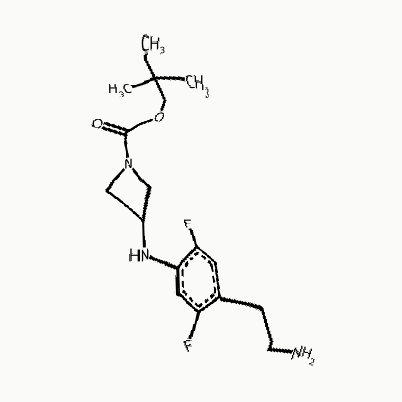 CC(C)(C)OC(=O)N1CC(Nc2cc(F)c(CCN)cc2F)C1